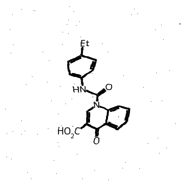 CCc1ccc(NC(=O)n2cc(C(=O)O)c(=O)c3ccccc32)cc1